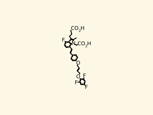 Cc1c(CCCC(=O)O)c2c(F)ccc(C=Cc3ccc(OCC=CCOc4c(F)cc(F)cc4F)cc3)c2n1CC(=O)O